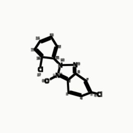 [O-][n+]1c2ccc(Cl)cc2nn1-c1ccccc1Cl